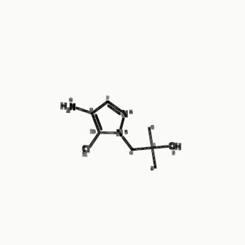 CC(C)(O)Cn1ncc(N)c1Cl